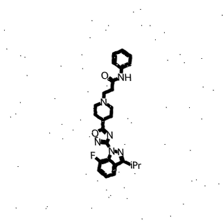 CC(C)c1nn(-c2noc(C3CCN(CCC(=O)Nc4ccccc4)CC3)n2)c2c(F)cccc12